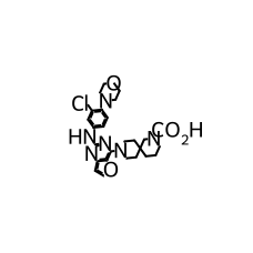 O=C(O)N1CCCC2(CCN(c3nc(Nc4ccc(N5CCOCC5)c(Cl)c4)nc4ccoc34)CC2)C1